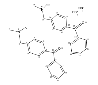 Br.Br.CN(C)Cc1ccc(C(=O)c2ccccc2)cc1.CN(C)Cc1ccc(C(=O)c2ccccc2)cc1